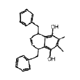 Cc1c(C)c(O)c2c(c1O)C(Cc1ccccc1)C=CC2Cc1ccccc1